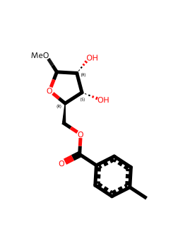 COC1O[C@H](COC(=O)c2ccc(C)cc2)[C@@H](O)[C@H]1O